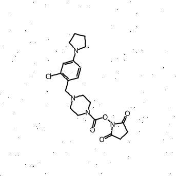 O=C(ON1C(=O)CCC1=O)N1CCN(Cc2ccc(N3CCCC3)cc2Cl)CC1